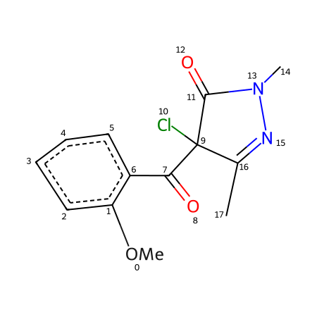 COc1ccccc1C(=O)C1(Cl)C(=O)N(C)N=C1C